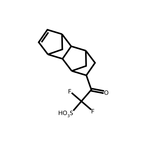 O=C(C1CC2CC1C1C3C=CC(C3)C21)C(F)(F)S(=O)(=O)O